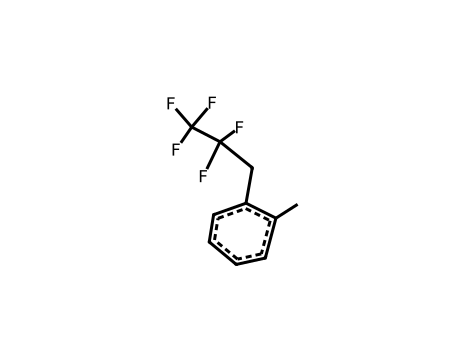 Cc1ccccc1CC(F)(F)C(F)(F)F